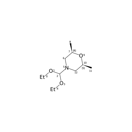 CCOC(OCC)N1C[C@@H](C)O[C@@H](C)C1